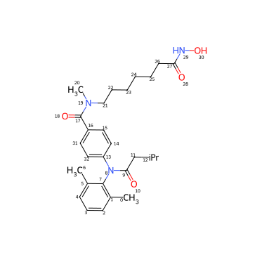 Cc1cccc(C)c1N(C(=O)CC(C)C)c1ccc(C(=O)N(C)CCCCCCC(=O)NO)cc1